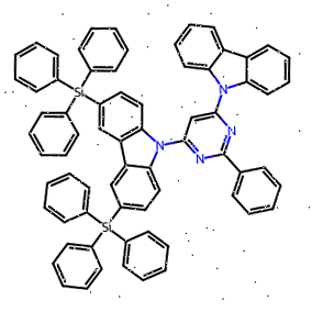 c1ccc(-c2nc(-n3c4ccccc4c4ccccc43)cc(-n3c4ccc([Si](c5ccccc5)(c5ccccc5)c5ccccc5)cc4c4cc([Si](c5ccccc5)(c5ccccc5)c5ccccc5)ccc43)n2)cc1